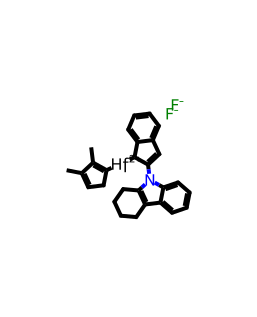 CC1=CC[C]([Hf+2][CH]2C(n3c4c(c5ccccc53)CCCC4)=Cc3ccccc32)=C1C.[F-].[F-]